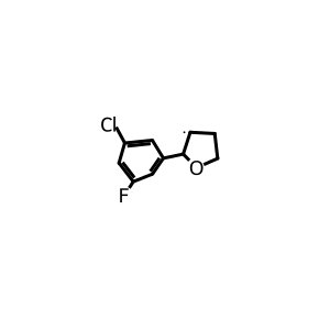 Fc1cc(Cl)cc(C2[CH]CCO2)c1